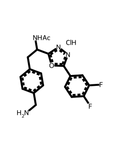 CC(=O)NC(Cc1ccc(CN)cc1)c1nnc(-c2ccc(F)c(F)c2)o1.Cl